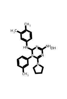 Cc1cccc(N2C(N3CCCC3)=NC(N)=NC2Nc2ccc(C)c(C)c2)c1.Cl